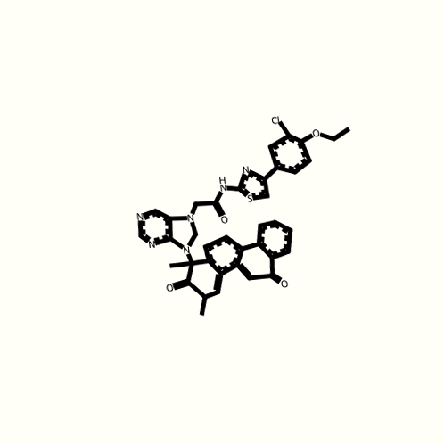 CCOc1ccc(-c2csc(NC(=O)CN3CN(C4(C)C(=O)C(C)C=c5c4ccc4c5=CC(=O)c5ccccc5-4)c4ncncc43)n2)cc1Cl